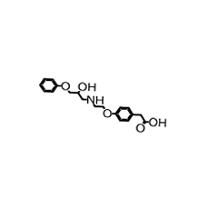 O=C(O)Cc1ccc(OCCNCC(O)COc2ccccc2)cc1